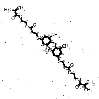 C=C(C)C(=O)OCCOC(=O)CCSc1cc(C)c(Sc2c(C)cc(SCCC(=O)OCCOC(=O)C(=C)C)cc2C)c(C)c1